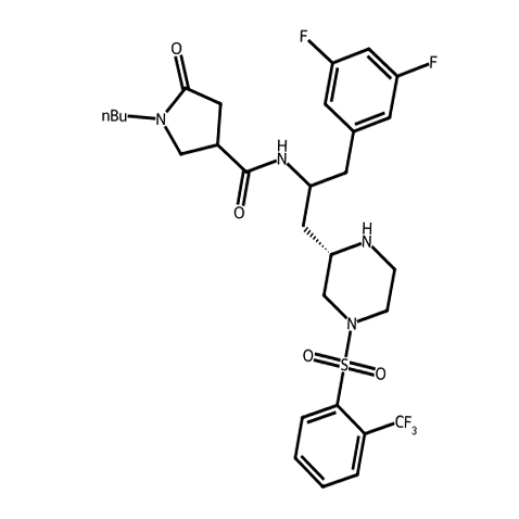 CCCCN1CC(C(=O)NC(Cc2cc(F)cc(F)c2)C[C@H]2CN(S(=O)(=O)c3ccccc3C(F)(F)F)CCN2)CC1=O